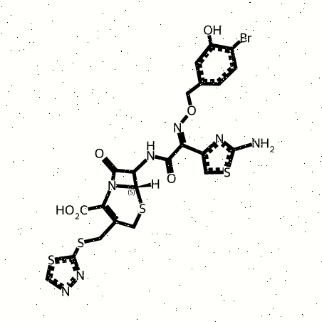 Nc1nc(C(=NOCc2ccc(Br)c(O)c2)C(=O)NC2C(=O)N3C(C(=O)O)=C(CSc4nncs4)CS[C@@H]23)cs1